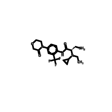 CCN(C1CC1)[C@@H](CN)C(=O)Nc1ccc(N2CCOCC2=O)cc1C(F)(F)F